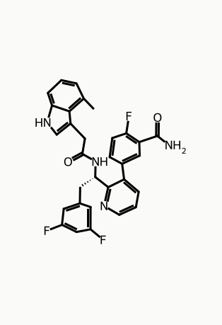 Cc1cccc2[nH]cc(CC(=O)N[C@@H](Cc3cc(F)cc(F)c3)c3ncccc3-c3ccc(F)c(C(N)=O)c3)c12